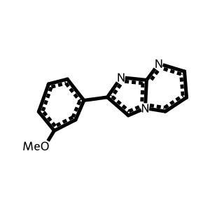 COc1cccc(-c2cn3cccnc3n2)c1